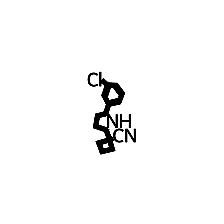 N#CC1(C2CCC(c3cccc(Cl)c3)N2)CCC1